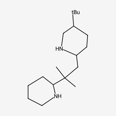 CC(C)(C)C1CCC(CC(C)(C)C2CCCCN2)NC1